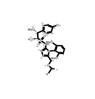 COc1cccc(OC)c1-n1c(COC(F)F)nnc1NS(=O)(=O)[C@@H](C)[C@H](OC)c1ncc(Cl)cn1